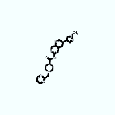 Cn1cc(-c2cnc3cnc(NC(=O)C4CCN(Cc5ncccn5)CC4)cc3c2)cn1